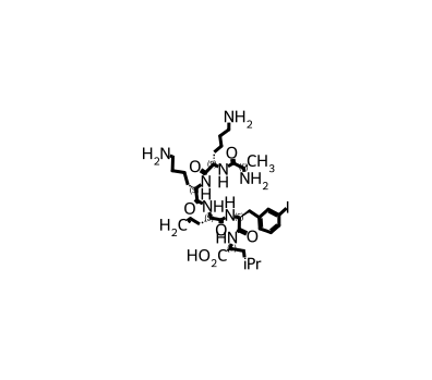 C=CC[C@H](NC(=O)[C@H](CCCCN)NC(=O)[C@H](CCCCN)NC(=O)[C@H](C)N)C(=O)N[C@@H](Cc1cccc(I)c1)C(=O)N[C@@H](CC(C)C)C(=O)O